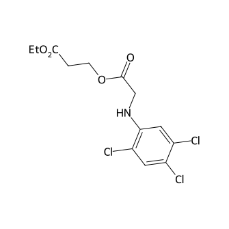 CCOC(=O)CCOC(=O)CNc1cc(Cl)c(Cl)cc1Cl